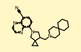 N#Cc1ccc(N2CC(CN3CCC4(CCCCC4)CC3)C3(CC3)C2)c2nccnc12